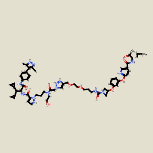 COC(=O)[C@H](CCC(C)(C)C)NC(=O)c1ccc(Oc2cccc(OC3CN(C(=O)NCCCOCCOCc4cn(CC(=O)N(CCO)CCCn5nccc5C(=O)N[C@H](C(=O)Nc5ccc(-c6c(C)n[nH]c6C)cc5)C(C5CC5)C5CC5)nn4)C3)c2)nc1